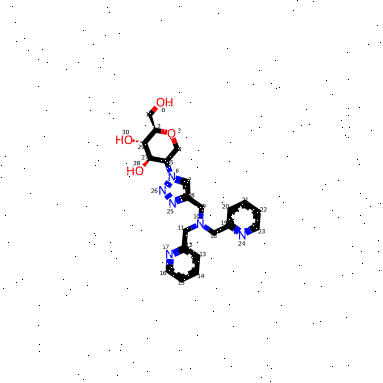 OC[C@H]1OCC(n2cc(CN(Cc3ccccn3)Cc3ccccn3)nn2)[C@@H](O)[C@@H]1O